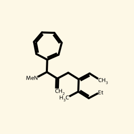 C=C(CC(=C/C)/C(C)=C\CC)C(NC)C1=CC=CC=C=C1